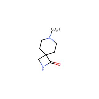 O=C(O)N1CCC2(CC1)CNC2=O